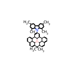 Cc1cc(C)c2c(c1)c1cc(C)cc(C)c1n2C1=CC2C3=CC=CC4=CC=C5C(B6C2C(=C1)C1C=CC=C2C=CC(C6C21)C5(C)C)C43